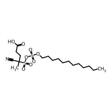 CCCCCCCCCCCCOS(=O)(=O)OS(=O)(=O)C(C)(C#N)CCC(=O)O